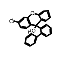 OC1(c2ccccc2-c2ccccc2)c2ccccc2Oc2cc(Cl)ccc21